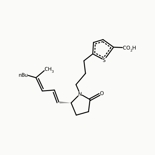 CCCCC(C)=CC=C[C@H]1CCC(=O)N1CCCc1ccc(C(=O)O)s1